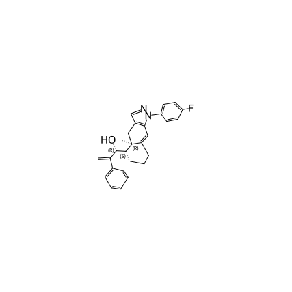 C=C(c1ccccc1)[C@H](O)[C@H]1CCCC2=Cc3c(cnn3-c3ccc(F)cc3)C[C@@]21C